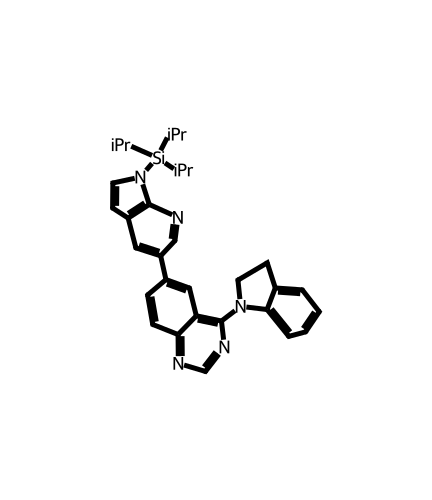 CC(C)[Si](C(C)C)(C(C)C)n1ccc2cc(-c3ccc4ncnc(N5CCc6ccccc65)c4c3)cnc21